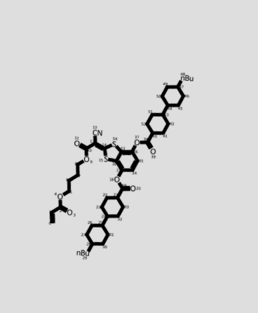 C=CC(=O)OCCCCOC(=O)C(C#N)=C1Sc2c(OC(=O)C3CCC(C4CCC(CCCC)CC4)CC3)ccc(OC(=O)C3CCC(C4CCC(CCCC)CC4)CC3)c2S1